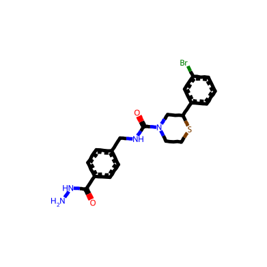 NNC(=O)c1ccc(CNC(=O)N2CCSC(c3cccc(Br)c3)C2)cc1